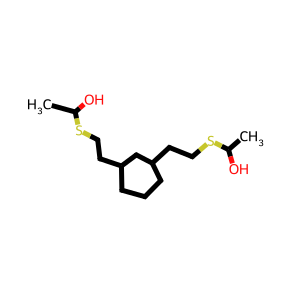 CC(O)SCCC1CCCC(CCSC(C)O)C1